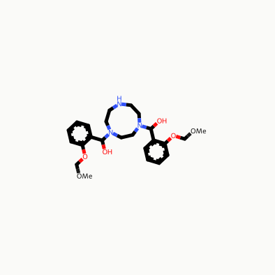 COCOc1ccccc1C(O)N1CCNCCN(C(O)c2ccccc2OCOC)CC1